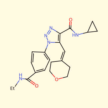 CCNC(=O)c1ccc(-n2nnc(C(=O)NC3CC3)c2C=C2CCOCC2)cc1